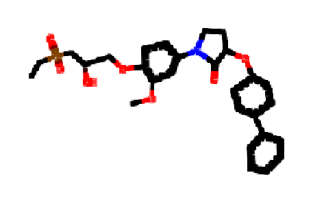 CCS(=O)(=O)C[C@H](O)COc1ccc(N2CCC(Oc3ccc(-c4ccccc4)cc3)C2=O)cc1OC